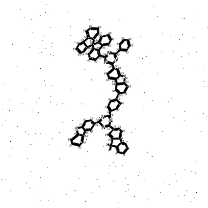 CC1(C)c2ccccc2-c2ccc(-c3nc(-c4ccc(-c5ccc6sc7cc(-c8nc(-c9ccccc9)nc(-c9cccc%10c9-c9ccccc9C%109c%10ccccc%10-c%10ccccc%109)n8)ccc7c6c5)cc4)nc(-c4ccc5sc6ccccc6c5c4)n3)cc21